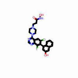 O=C(CCN1CCN(c2ncnc3c(F)c(-c4cc(O)cc5ccccc45)c(Cl)cc23)CC1)NO